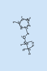 Cc1cncc(CO[Si](C)(C)C(C)(C)C)c1